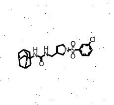 O=C(NCC1CCN(S(=O)(=O)c2cccc(Cl)c2)C1)NC12CC3CC(CC(C3)C1)C2